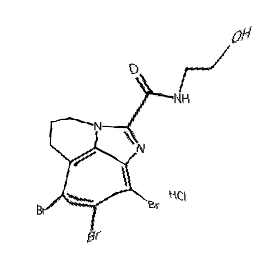 Cl.O=C(NCCO)c1nc2c(Br)c(Br)c(Br)c3c2n1CCC3